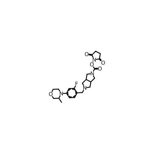 CC1COCCN1c1ccc(CN2CC3CN(C(=O)ON4C(=O)CCC4=O)CC3C2)c(F)c1